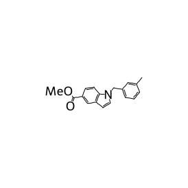 COC(=O)c1ccc2c(ccn2Cc2cccc(C)c2)c1